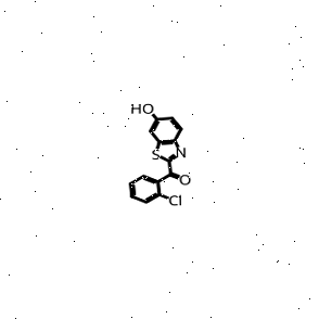 O=C(c1nc2ccc(O)cc2s1)c1ccccc1Cl